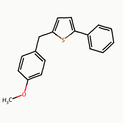 COc1ccc(Cc2ccc(-c3ccccc3)s2)cc1